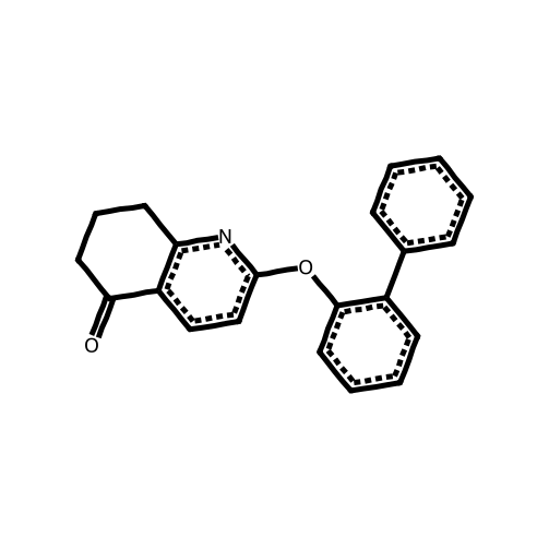 O=C1CCCc2nc(Oc3ccccc3-c3ccccc3)ccc21